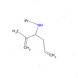 C=CCC(NC(C)C)C(=C)C